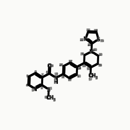 CSc1ncccc1C(=O)Nc1ccc(C2=C(C)CCN(c3nccs3)C2)cc1